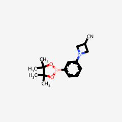 CC1(C)OB(c2cccc(N3CC(C#N)C3)c2)OC1(C)C